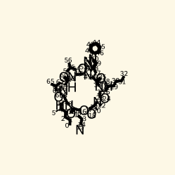 CCCC[C@@H](C)C[C@@H]1NC(=O)[C@@H](CCC#N)OC(=O)[C@H](C)N(C)C(=O)[C@H](C[C@@H](C)CCCC)NC(=O)[C@H](Cc2cn(-c3ccccc3)nn2)N(C)C(=O)[C@H](CC(C)C)NC(=O)[C@H](CC(C)C)N(C)C1=O